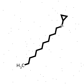 CCCCCCCCCCC[P]C1CC1